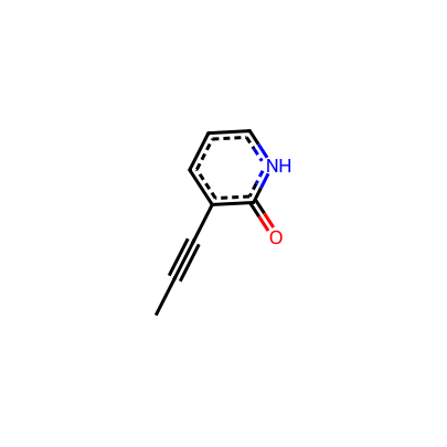 CC#Cc1ccc[nH]c1=O